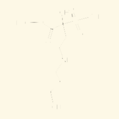 CCCCNCCC(C)(C(=O)OC)S(C)(=O)=O